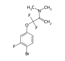 C=C(N(C)C)C(F)(F)Oc1ccc(Br)c(F)c1